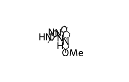 COC1CCN([C@H]2CCc3ccccc3[C@@H]2Nc2ncnc3[nH]c(C)cc23)CC1